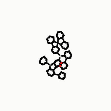 c1ccc(-c2ccccc2N(c2ccc3c(c2)C2(c4ccccc4-c4ccccc42)c2ccccc2-3)c2ccc3c4c(-c5ccccc5)cccc4n(-c4ccccc4)c3c2)cc1